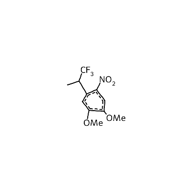 COc1cc(C(C)C(F)(F)F)c([N+](=O)[O-])cc1OC